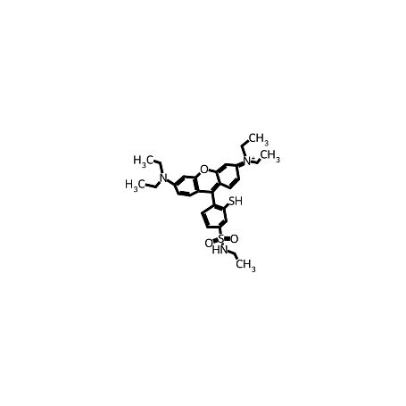 CCNS(=O)(=O)c1ccc(-c2c3ccc(=[N+](CC)CC)cc-3oc3cc(N(CC)CC)ccc23)c(S)c1